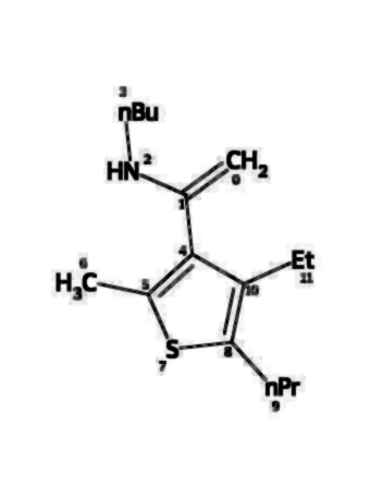 C=C(NCCCC)c1c(C)sc(CCC)c1CC